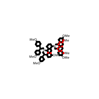 COc1ccc(C(=CN(C=C(c2ccc(OC)cc2)c2ccc(OC)cc2)c2cccc3c(N(C=C(c4ccc(OC)cc4)c4ccc(OC)cc4)C=C(c4ccc(OC)cc4)c4ccc(OC)cc4)cccc23)c2ccc(OC)cc2)cc1